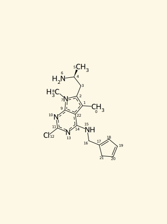 Cc1c(C[C@H](C)N)n(C)c2nc(Cl)nc(NCC3=CC=CC3)c12